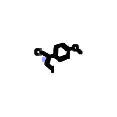 COc1ccc(/C(Cl)=C\I)cc1